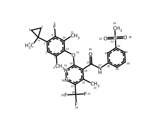 Cc1cc(C2(C)CC2)c(F)c(C)c1Oc1nnc(C(F)(F)F)c(C)c1C(=O)Nc1cccc(S(C)(=O)=O)c1